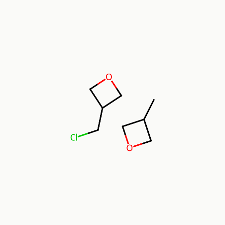 CC1COC1.ClCC1COC1